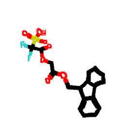 O=C(COC(=O)C(F)(F)S(=O)(=O)O)OCC1c2ccccc2-c2ccccc21